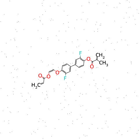 C=CC(=O)O/C=C\Oc1ccc(-c2ccc(OC(=O)C(=C)C)c(F)c2)cc1F